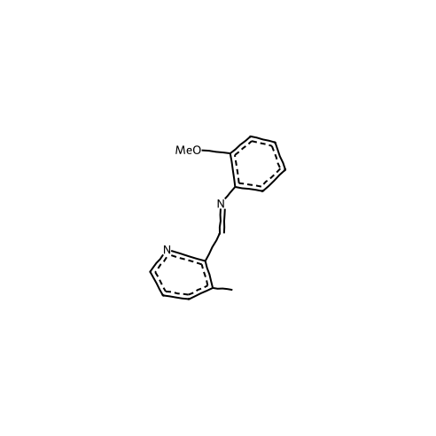 COc1ccccc1N=Cc1ncccc1C